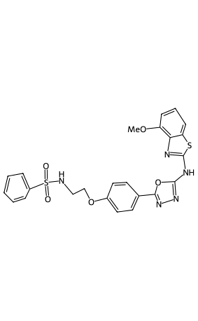 COc1cccc2sc(Nc3nnc(-c4ccc(OCCNS(=O)(=O)c5ccccc5)cc4)o3)nc12